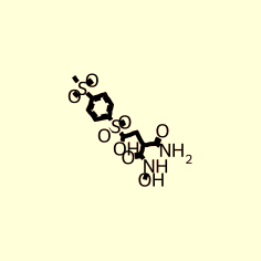 CS(=O)(=O)c1ccc(S(=O)(=O)C(O)CC(C(N)=O)C(=O)NO)cc1